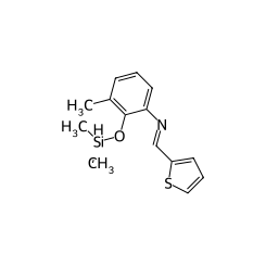 Cc1cccc(N=Cc2cccs2)c1O[SiH](C)C